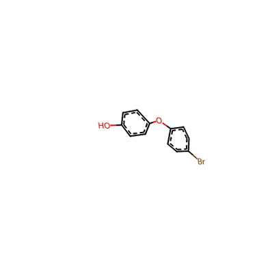 Oc1ccc(Oc2ccc(Br)cc2)cc1